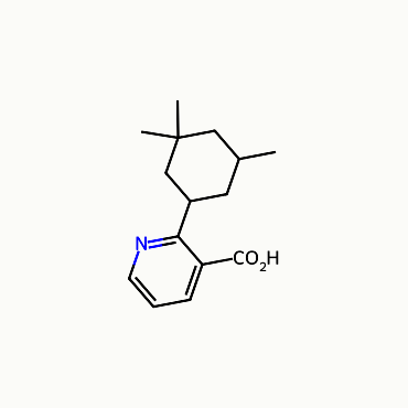 CC1CC(c2ncccc2C(=O)O)CC(C)(C)C1